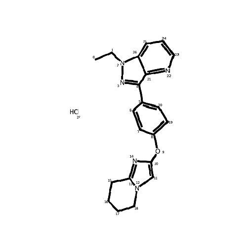 CCn1nc(-c2ccc(Oc3cn4c(n3)CCCC4)cc2)c2ncccc21.Cl